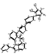 [2H]c1c([2H])c([2H])c(-c2ccc(-c3ccc(-c4cccc5c4S(=O)(=O)c4cccc6nc(-c7ccccc7)n-5c46)cc3)cc2)c([2H])c1[2H]